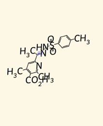 C/C(=N\NS(=O)(=O)c1ccc(C)cc1)c1cc(C)c(C(=O)O)c(C)n1